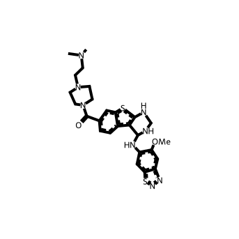 COc1cc2nnsc2cc1NC1NCNc2sc3cc(C(=O)N4CCN(CCN(C)C)CC4)ccc3c21